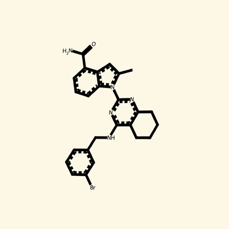 Cc1cc2c(C(N)=O)cccc2n1-c1nc2c(c(NCc3cccc(Br)c3)n1)CCCC2